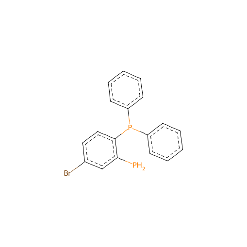 Pc1cc(Br)ccc1P(c1ccccc1)c1ccccc1